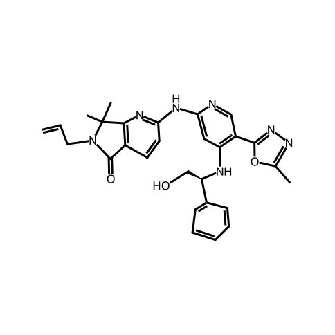 C=CCN1C(=O)c2ccc(Nc3cc(N[C@H](CO)c4ccccc4)c(-c4nnc(C)o4)cn3)nc2C1(C)C